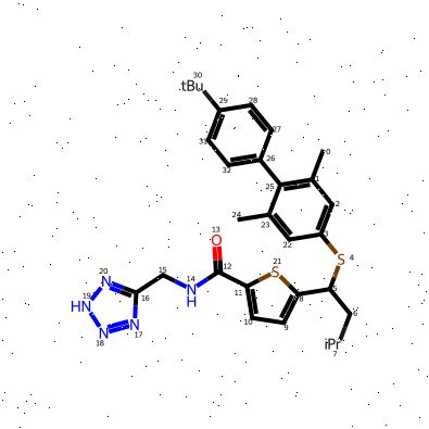 Cc1cc(SC(CC(C)C)c2ccc(C(=O)NCc3nn[nH]n3)s2)cc(C)c1-c1ccc(C(C)(C)C)cc1